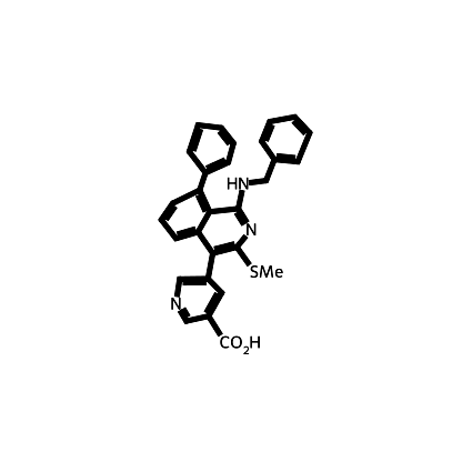 CSc1nc(NCc2ccccc2)c2c(-c3ccccc3)cccc2c1-c1cncc(C(=O)O)c1